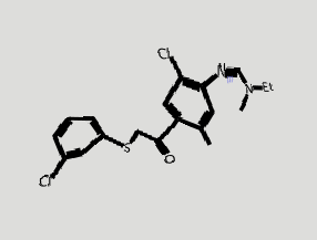 CCN(C)/C=N\c1cc(C)c(C(=O)CSc2cccc(Cl)c2)cc1Cl